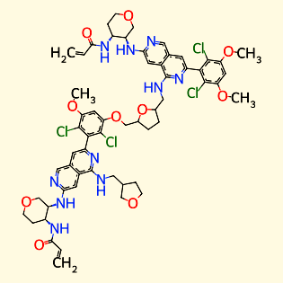 C=CC(=O)N[C@H]1CCOC[C@H]1Nc1cc2c(NCC3CCC(COc4cc(OC)c(Cl)c(-c5cc6cnc(N[C@@H]7COCC[C@@H]7NC(=O)C=C)cc6c(NCC6CCOC6)n5)c4Cl)O3)nc(-c3c(Cl)c(OC)cc(OC)c3Cl)cc2cn1